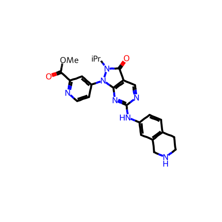 COC(=O)c1cc(-n2c3nc(Nc4ccc5c(c4)CNCC5)ncc3c(=O)n2C(C)C)ccn1